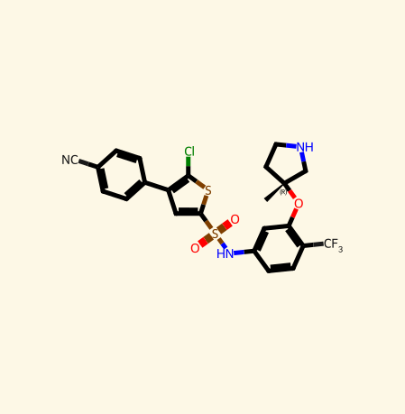 C[C@@]1(Oc2cc(NS(=O)(=O)c3cc(-c4ccc(C#N)cc4)c(Cl)s3)ccc2C(F)(F)F)CCNC1